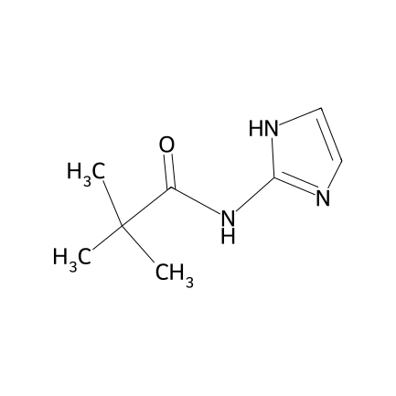 CC(C)(C)C(=O)Nc1ncc[nH]1